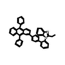 CCc1nc2ccccc2n1-c1ccccc1-c1ccc(-c2ccc3c(-c4ccccc4)c4ccccc4c(-c4ccccc4)c3c2)cc1